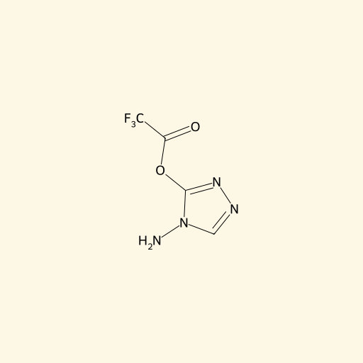 Nn1cnnc1OC(=O)C(F)(F)F